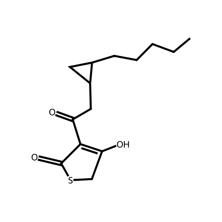 CCCCCC1CC1CC(=O)C1=C(O)CSC1=O